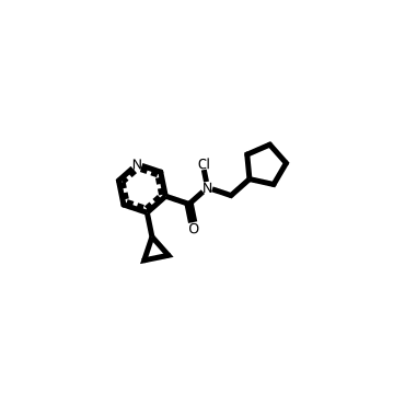 O=C(c1cnccc1C1CC1)N(Cl)CC1CCCC1